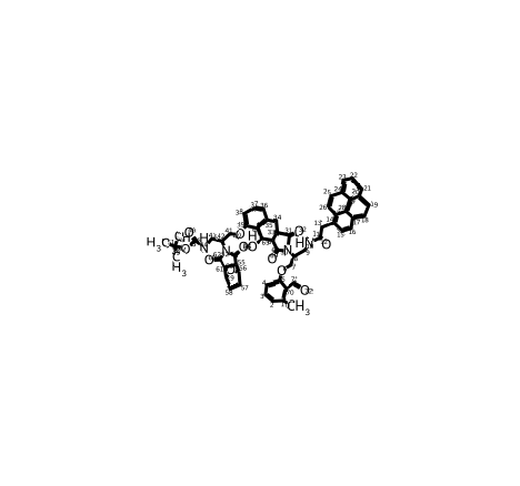 Cc1cccc(OCC(CNC(=O)Cc2ccc3ccc4cccc5ccc2c3c45)N2C(=O)C3Cc4cccc(OCC(CNC(=O)OC(C)(C)C)N5C(=O)C6C7C=CC(O7)C6C5=O)c4C(O)C3C2=O)c1C=O